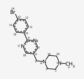 CN1CCN(Cc2cnc(-c3ccc(Br)cc3)nc2)CC1